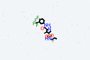 C=C[C@H](C)NS(=O)(=O)c1cn(C)c(C(=O)Nc2ccc(F)c(C(F)(F)F)c2)c1C